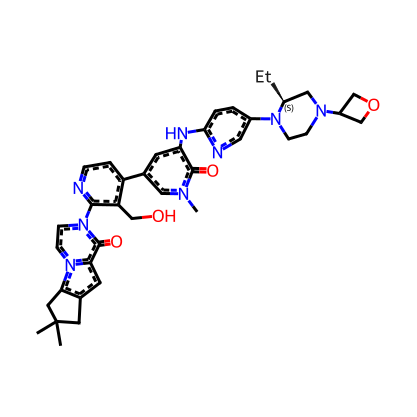 CC[C@H]1CN(C2COC2)CCN1c1ccc(Nc2cc(-c3ccnc(-n4ccn5c6c(cc5c4=O)CC(C)(C)C6)c3CO)cn(C)c2=O)nc1